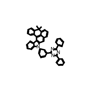 CC1(C)c2ccccc2-c2c3c1cccc3cc1c2c2ccccc2n1-c1cccc(-c2nc(-c3ccccc3)nc(-c3ccccc3)n2)c1